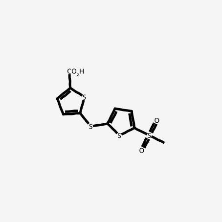 CS(=O)(=O)c1ccc(Sc2ccc(C(=O)O)s2)s1